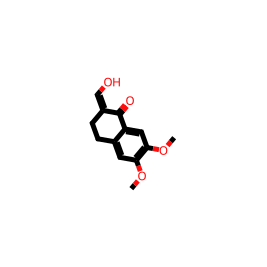 COc1cc2c(cc1OC)C(=O)C(=CO)CC2